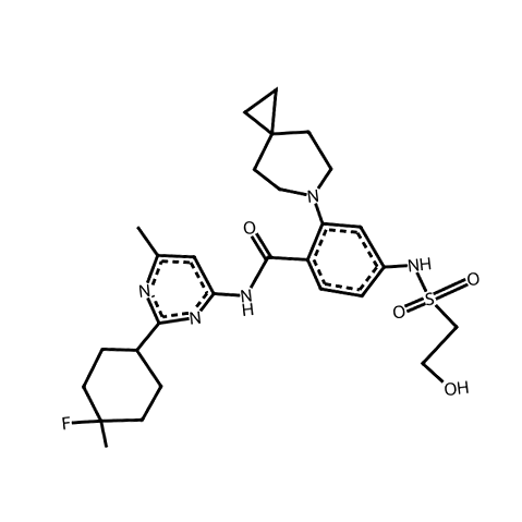 Cc1cc(NC(=O)c2ccc(NS(=O)(=O)CCO)cc2N2CCC3(CC2)CC3)nc(C2CCC(C)(F)CC2)n1